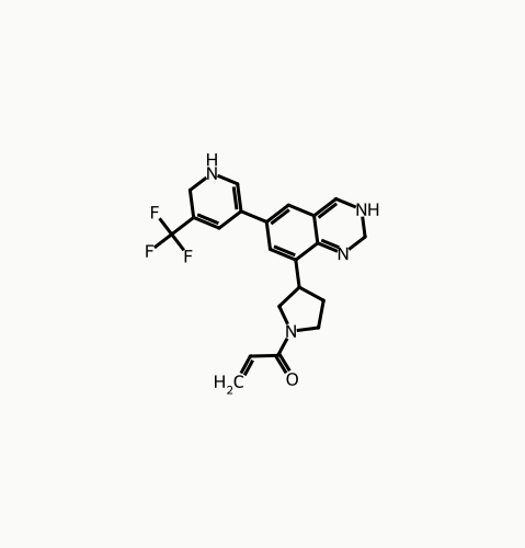 C=CC(=O)N1CCC(c2cc(C3=CNCC(C(F)(F)F)=C3)cc3c2=NCNC=3)C1